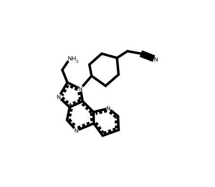 N#CCC1CCC(n2c(CN)nc3cnc4cccnc4c32)CC1